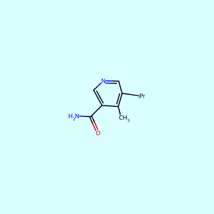 Cc1c(C(N)=O)cncc1C(C)C